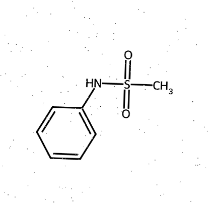 CS(=O)(=O)Nc1ccccc1